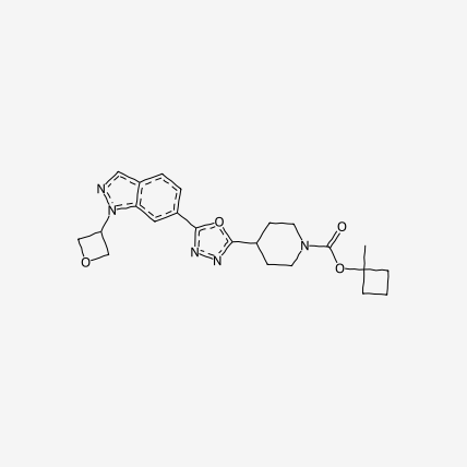 CC1(OC(=O)N2CCC(c3nnc(-c4ccc5cnn(C6COC6)c5c4)o3)CC2)CCC1